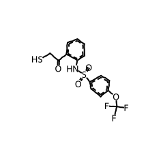 O=C(CS)c1ccccc1NS(=O)(=O)c1ccc(OC(F)(F)F)cc1